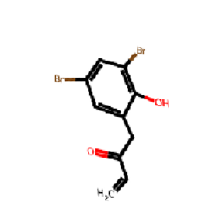 C=CC(=O)Cc1cc(Br)cc(Br)c1O